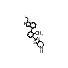 Cc1c(-c2nc3c(s2)CNCC3)cccc1-c1cccc2c1cnn2CI